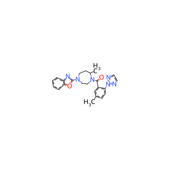 Cc1ccc(-n2nccn2)c(C(=O)N2CCN(c3nc4ccccc4o3)CCC2C)c1